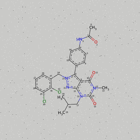 CC(=O)Nc1ccc(-c2c3c(=O)n(C)c(=O)n(CC(C)C)c3nn2Cc2cccc(Cl)c2Cl)cc1